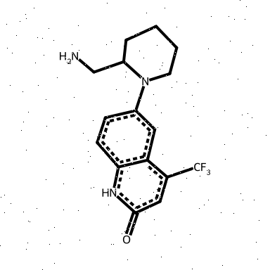 NCC1CCCCN1c1ccc2[nH]c(=O)cc(C(F)(F)F)c2c1